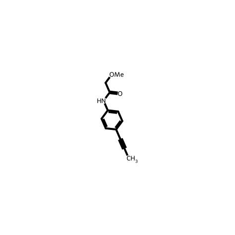 CC#Cc1ccc(NC(=O)COC)cc1